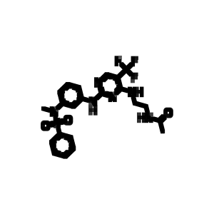 CC(=O)NCCNc1nc(Nc2cccc(N(C)S(=O)(=O)c3ccccc3)c2)ncc1C(F)(F)F